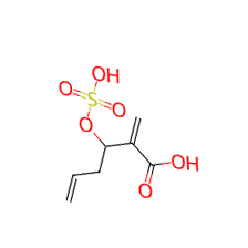 C=CCC(OS(=O)(=O)O)C(=C)C(=O)O